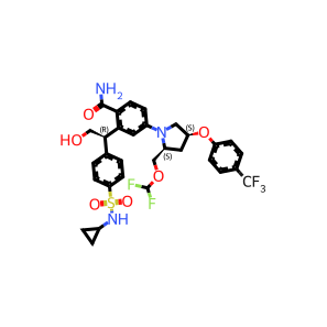 NC(=O)c1ccc(N2C[C@@H](Oc3ccc(C(F)(F)F)cc3)C[C@H]2COC(F)F)cc1[C@H](CO)c1ccc(S(=O)(=O)NC2CC2)cc1